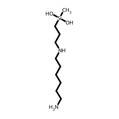 C[Si](O)(O)CCCNCCCCCCN